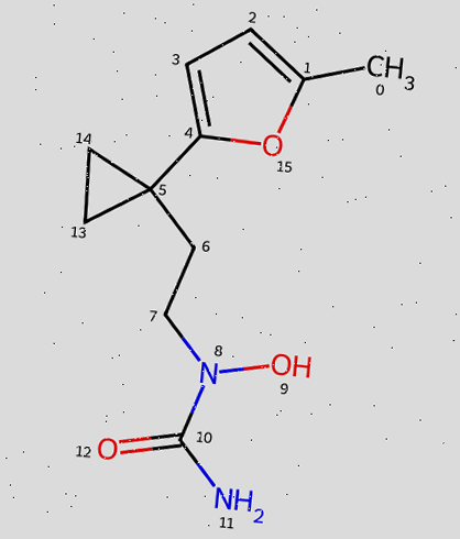 Cc1ccc(C2(CCN(O)C(N)=O)CC2)o1